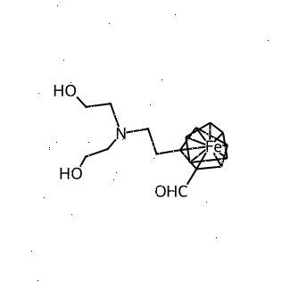 O=C[C]12[CH]3[CH]4[CH]5[C]1(CCN(CCO)CCO)[Fe]43521678[CH]2[CH]1[CH]6[CH]7[CH]28